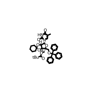 Cc1cn([C@@H]2O[C@@](COC(=O)C(C)(C)C)(COC(c3ccccc3)(c3ccccc3)c3ccccc3)[C@H]3OC4(CCCCC4)O[C@@H]23)c(=O)[nH]c1=O